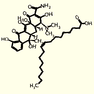 CCCCCCCC/C=C\CCCCCCCC(=O)O.CN(C)[C@@H]1C(O)=C(C(N)=O)C(=O)[C@@]2(O)C(O)=C3C(=O)c4c(O)cccc4[C@@](C)(O)[C@H]3C[C@@H]12